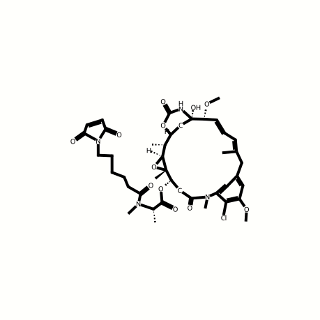 COc1cc2cc(c1Cl)N(C)C(=O)C[C@H](OC(=O)[C@H](C)N(C)C(=O)CCCCCN1C(=O)C=CC1=O)[C@]1(C)O[C@H]1[C@H](C)[C@@H]1C[C@@](O)(NC(=O)O1)[C@H](OC)/C=C/C=C(\C)C2